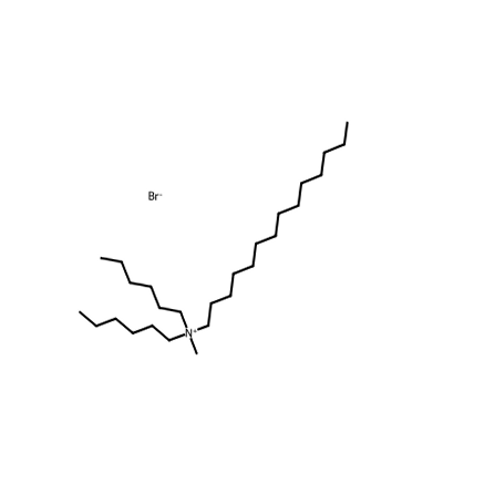 CCCCCCCCCCCCCC[N+](C)(CCCCCC)CCCCCC.[Br-]